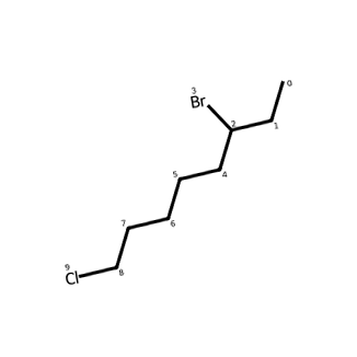 CCC(Br)CCCCCCl